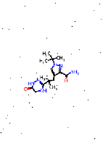 CC(C)(Cc1cn(C(C)(C)C)nc1C(N)=O)C1=NNC(=O)CN1